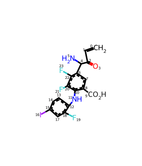 C=CC(=O)C(N)c1cc(C(=O)O)c(Nc2ccc(I)cc2F)c(F)c1F